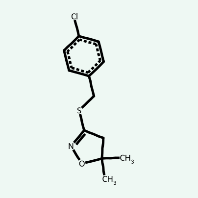 CC1(C)CC(SCc2ccc(Cl)cc2)=NO1